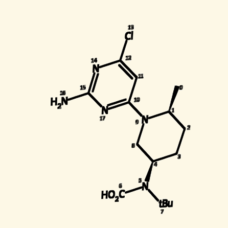 C[C@H]1CC[C@@H](N(C(=O)O)C(C)(C)C)CN1c1cc(Cl)nc(N)n1